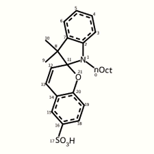 CCCCCCCCN1c2ccccc2C(C)(C)C12C=Cc1cc(S(=O)(=O)O)ccc1O2